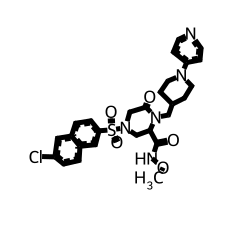 CONC(=O)C1CN(S(=O)(=O)c2ccc3cc(Cl)ccc3c2)CC(=O)N1CC1CCN(c2ccncc2)CC1